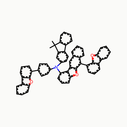 CC1(C)c2ccccc2-c2ccc(N(c3ccc(-c4cccc5c4oc4ccccc45)cc3)c3cccc4oc5c(-c6cccc7c6oc6ccccc67)c6ccccc6cc5c34)cc21